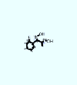 CC(=N\O)/C(=N\O)c1ccccc1F